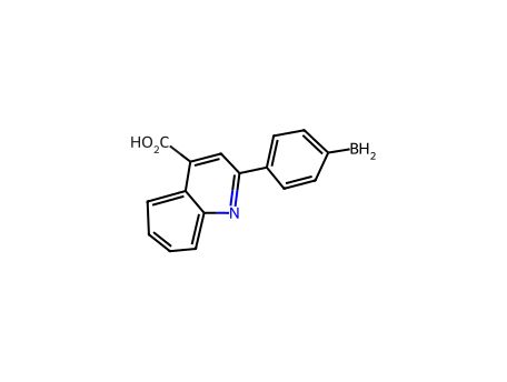 Bc1ccc(-c2cc(C(=O)O)c3ccccc3n2)cc1